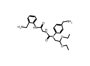 CCOC(CN(C(=O)NCC(=O)Nc1ccccc1CN)c1ccc(CN)cc1)OCC